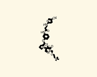 C[Si](C)(C)CCOCn1ncc(N2CCCC2COc2cccc(NC(=O)CCNc3ccc(C#N)cn3)c2)c(C(F)(F)F)c1=O